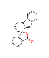 O=C1OC2(C=CC=C3C2=Cc2ccccc23)c2ccccc21